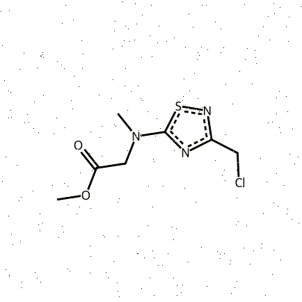 COC(=O)CN(C)c1nc(CCl)ns1